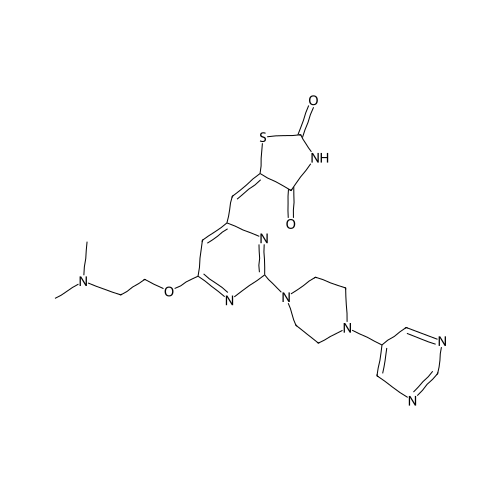 CN(C)CCOc1cc(/C=C2/SC(=O)NC2=O)nc(N2CCN(c3cncnc3)CC2)n1